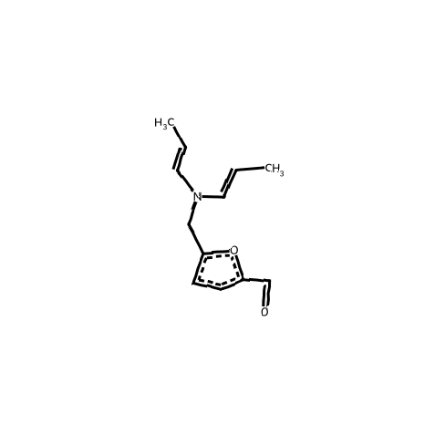 CC=CN(C=CC)Cc1ccc(C=O)o1